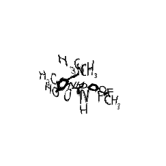 Cc1cc(C#CN(C)C)c(NC(=O)C2CNc3cc(OC(C)(F)F)ccc3O2)cc1O